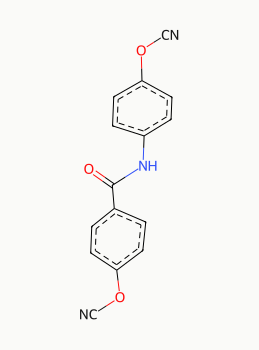 N#COc1ccc(NC(=O)c2ccc(OC#N)cc2)cc1